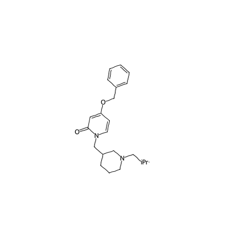 C[C](C)CN1CCCC(Cn2ccc(OCc3ccccc3)cc2=O)C1